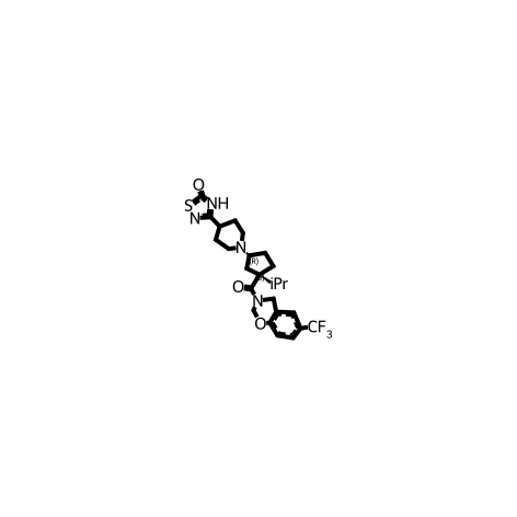 CC(C)[C@]1(C(=O)N2COc3ccc(C(F)(F)F)cc3C2)CC[C@@H](N2CCC(c3nsc(=O)[nH]3)CC2)C1